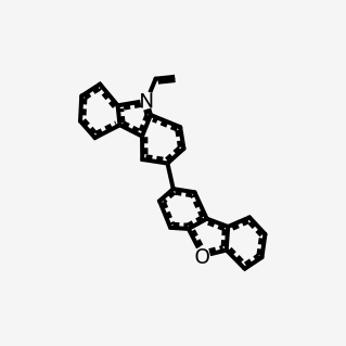 C=Cn1c2ccccc2c2cc(-c3ccc4oc5ccccc5c4c3)ccc21